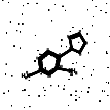 Nc1ccc(C2C=CCC2)c(N)c1